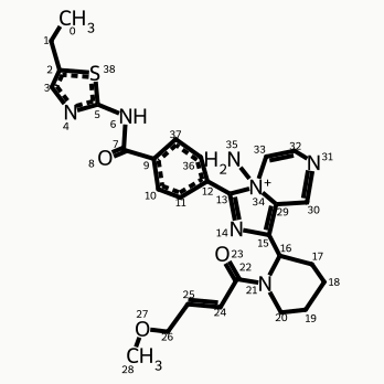 CCc1cnc(NC(=O)c2ccc(C3=NC(C4CCCCN4C(=O)/C=C/COC)=C4C=NC=C[N+]34N)cc2)s1